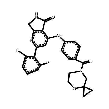 O=C1NCc2nc(-c3c(F)cccc3F)cc(Nc3ccc(C(=O)N4CCOC5(CC5)C4)cc3)c21